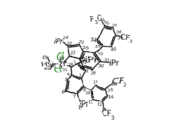 CC(C)C1=Cc2c(ccc(C(C)C)c2-c2cc(C(F)(F)F)cc(C(F)(F)F)c2)[CH]1[Zr]([Cl])([Cl])([CH]1C(C(C)C)=Cc2c1ccc(C(C)C)c2-c1cc(C(F)(F)F)cc(C(F)(F)F)c1)[SiH](C)C